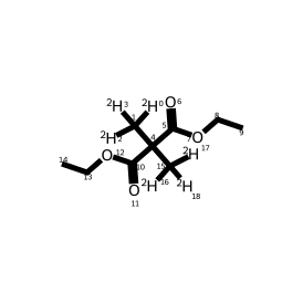 [2H]C([2H])([2H])C(C(=O)OCC)(C(=O)OCC)C([2H])([2H])[2H]